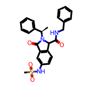 C[C@H](c1ccccc1)N1C(=O)c2cc(NS(C)(=O)=O)ccc2C1C(=O)NCc1ccccc1